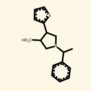 CC(c1ccccc1)N1CC(C(=O)O)C(c2cccs2)C1